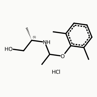 Cc1cccc(C)c1OC(C)N[C@@H](C)CO.Cl